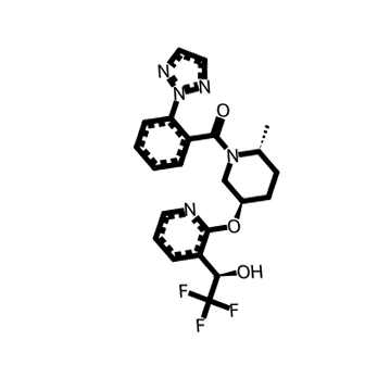 C[C@@H]1CC[C@@H](Oc2ncccc2[C@@H](O)C(F)(F)F)CN1C(=O)c1ccccc1-n1nccn1